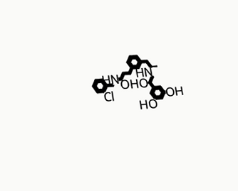 C[C@H](Cc1cccc(CCC(=O)NCc2ccccc2Cl)c1)NC[C@H](O)c1cc(O)cc(O)c1